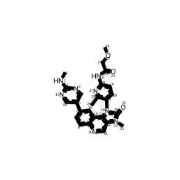 CNc1ncc(-c2ccc3ncc4c(c3c2)n(-c2ccc(NC(=O)COC)nc2C)c(=O)n4C)cn1